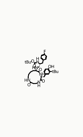 CC(C)(C)OC(=O)N[C@@H](CNC1CCCCNC(=O)CCNC(=O)[C@H](Cc2ccc(O)c(C(C)(C)C)c2)NC1=O)Cc1ccc(F)cc1